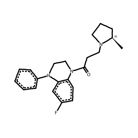 C[C@@H]1CCCN1CCC(=O)N1CCN(c2ccccc2)c2cc(F)ccc21